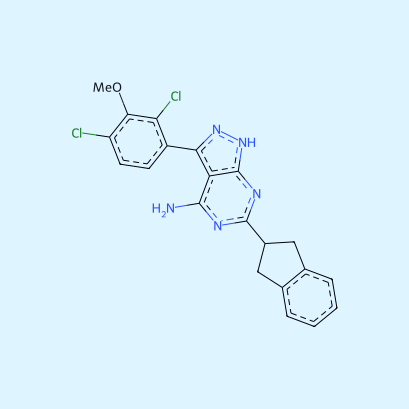 COc1c(Cl)ccc(-c2n[nH]c3nc(C4Cc5ccccc5C4)nc(N)c23)c1Cl